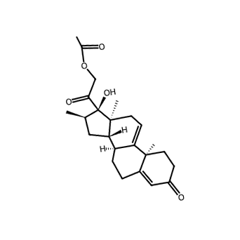 CC(=O)OCC(=O)[C@@]1(O)[C@H](C)C[C@H]2[C@@H]3CCC4=CC(=O)CC[C@]4(C)C3=CC[C@@]21C